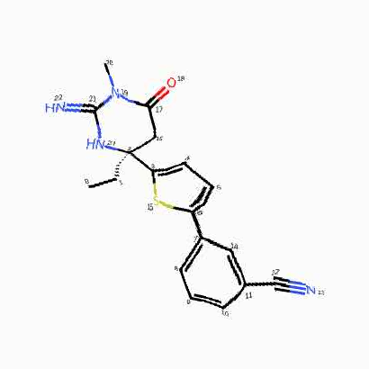 CC[C@@]1(c2ccc(-c3cccc(C#N)c3)s2)CC(=O)N(C)C(=N)N1